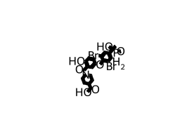 CC(O)([PH2]=O)c1cc(Br)c(Oc2ccc(O)c(C(=O)N3CCC(C(=O)O)CC3)c2)c(Br)c1